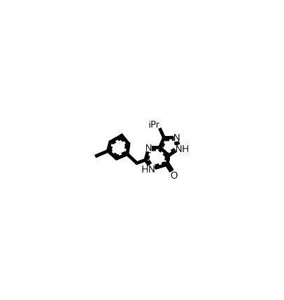 Cc1cccc(Cc2nc3c(C(C)C)n[nH]c3c(=O)[nH]2)c1